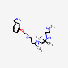 CNCCNC(C)(C)CNC(C)CCNCCOc1cccc(CN)c1